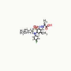 CCCCC1(CCCC)CN(c2ccc(F)cc2)c2cc(C)c(CN[C@@H](C)C(=O)O)cc2S(=O)(=O)C1